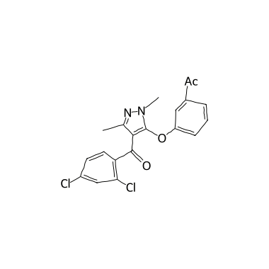 CC(=O)c1cccc(Oc2c(C(=O)c3ccc(Cl)cc3Cl)c(C)nn2C)c1